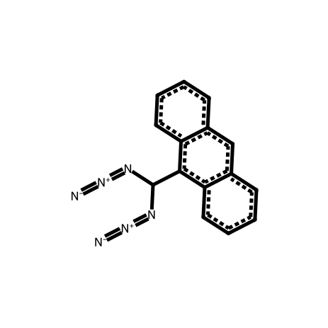 [N-]=[N+]=NC(N=[N+]=[N-])c1c2ccccc2cc2ccccc12